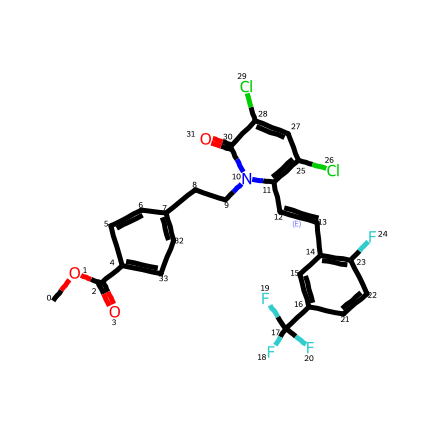 COC(=O)c1ccc(CCn2c(/C=C/c3cc(C(F)(F)F)ccc3F)c(Cl)cc(Cl)c2=O)cc1